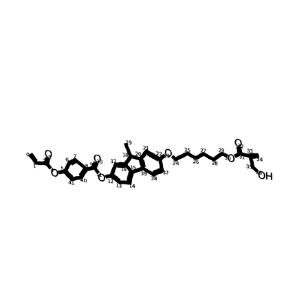 C=CC(=O)Oc1ccc(C(=O)Oc2ccc3c(c2)C(C)c2cc(OCCCCCCOC(=O)C(=C)CO)ccc2-3)cc1